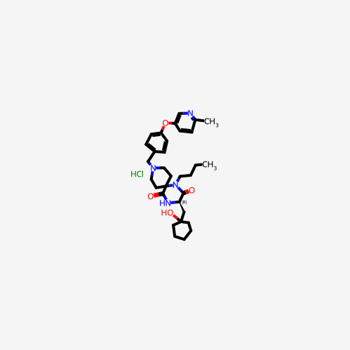 CCCCN1C(=O)[C@@H](CC2(O)CCCCC2)NC(=O)C12CCN(Cc1ccc(Oc3ccc(C)nc3)cc1)CC2.Cl